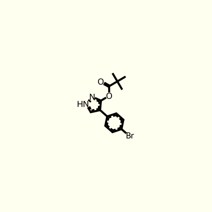 CC(C)(C)C(=O)Oc1n[nH]cc1-c1ccc(Br)cc1